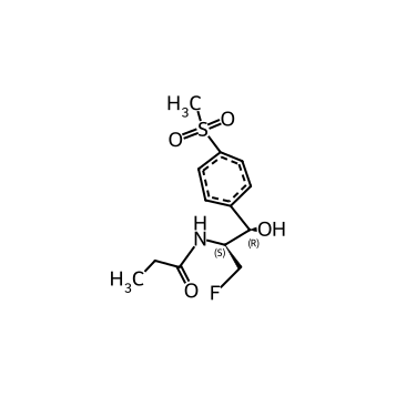 CCC(=O)N[C@H](CF)[C@H](O)c1ccc(S(C)(=O)=O)cc1